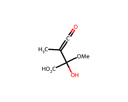 COC(O)(C(=O)O)C(C)=C=O